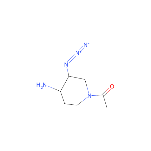 CC(=O)N1CCC(N)C(N=[N+]=[N-])C1